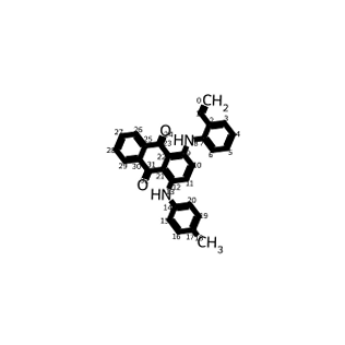 C=Cc1ccccc1Nc1ccc(Nc2ccc(C)cc2)c2c1C(=O)c1ccccc1C2=O